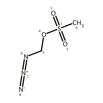 CS(=O)(=O)OCN=[N+]=[N-]